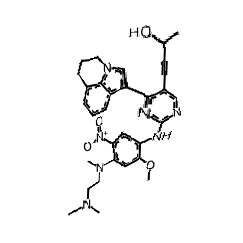 COc1cc(N(C)CCN(C)C)c([N+](=O)[O-])cc1Nc1ncc(C#CC(C)O)c(-c2cn3c4c(cccc24)CCC3)n1